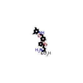 Cc1cc(C)cc(NC(=O)Cc2ccc(OC3(C(=O)CC[C@H](C)[C@H](N)C(=O)O)CCCC3)cc2)c1